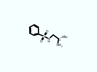 CC(C)(C)[C@H](N)CNS(=O)(=O)c1ccccc1